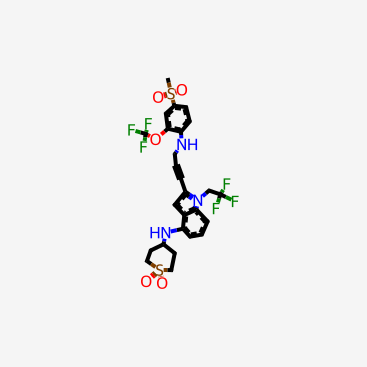 CS(=O)(=O)c1ccc(NCC#Cc2cc3c(NC4CCS(=O)(=O)CC4)cccc3n2CC(F)(F)F)c(OC(F)(F)F)c1